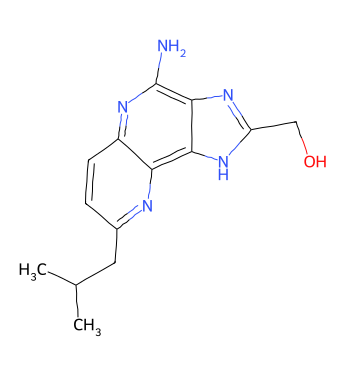 CC(C)Cc1ccc2nc(N)c3nc(CO)[nH]c3c2n1